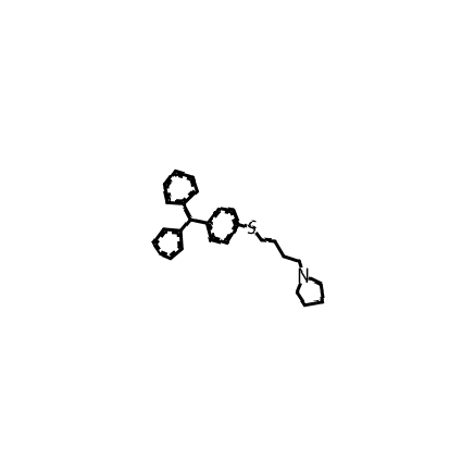 c1ccc(C(c2ccccc2)c2ccc(SCCCCN3CCCC3)cc2)cc1